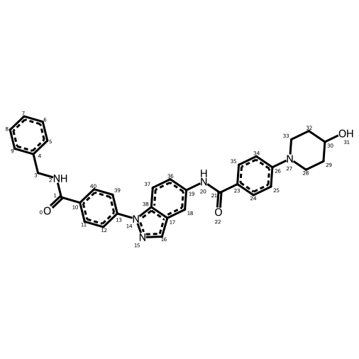 O=C(NCc1ccccc1)c1ccc(-n2ncc3cc(NC(=O)c4ccc(N5CCC(O)CC5)cc4)ccc32)cc1